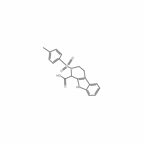 Cc1ccc(S(=O)(=O)N2CCc3c([nH]c4ccccc34)C2C(=O)O)cc1